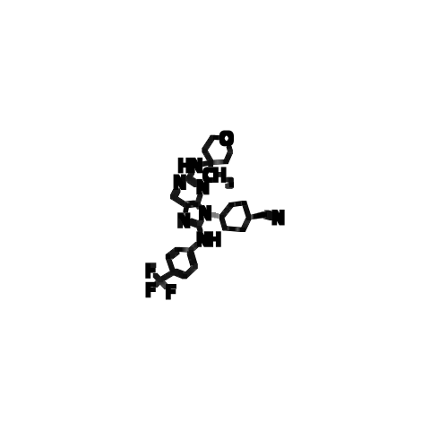 CC1(Nc2ncc3nc(Nc4ccc(C(F)(F)F)cc4)n([C@H]4CC[C@H](C#N)CC4)c3n2)CCOCC1